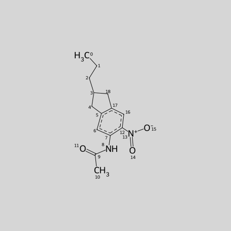 CCCC1Cc2cc(NC(C)=O)c([N+](=O)[O-])cc2C1